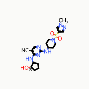 Cn1cc(S(=O)(=O)N2CCC(Nc3ncc(C#N)c(N[C@H]4CCC[C@H]4O)n3)CC2)cn1